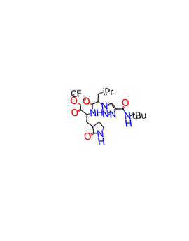 CC(C)CC(C(=O)NC(CC1CCNC1=O)C(=O)COC(F)(F)F)n1cc(C(=O)NC(C)(C)C)nn1